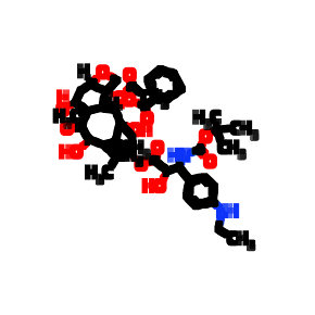 CCNc1ccc(C(NC(=O)OC(C)(C)C)[C@@H](O)C(=O)O[C@H]2C[C@@]3(O)[C@@H](OC(=O)c4ccccc4)[C@@H]4[C@]5(OC(C)=O)CO[C@@H]5C[C@H](O)[C@@]4(C)C(=O)[C@H](O)C(=C2C)C3(C)C)cc1